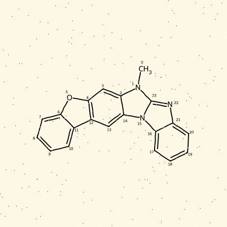 Cn1c2cc3oc4ccccc4c3cc2n2c3ccccc3nc12